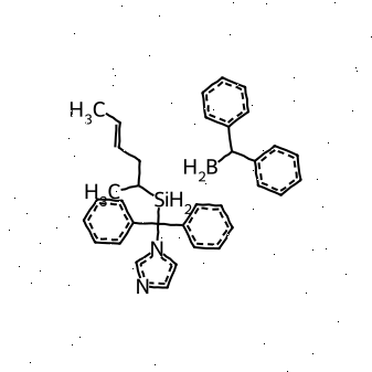 BC(c1ccccc1)c1ccccc1.CC=CCC(C)[SiH2]C(c1ccccc1)(c1ccccc1)n1ccnc1